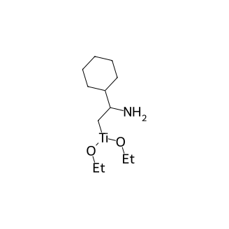 CC[O][Ti]([CH2]C(N)C1CCCCC1)[O]CC